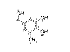 Cc1cc(CO)cc(O)c1O